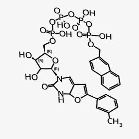 Cc1cccc(C2=CC3=CN([C@@H]4O[C@H](COP(=O)(O)OP(=O)(O)OP(=O)(O)OP(=O)(O)OCc5ccc6ccccc6c5)[C@H](O)C4O)C(=O)NC3O2)c1